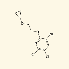 [C-]#[N+]c1cc(Cl)c(Cl)nc1OCCOC1CC1